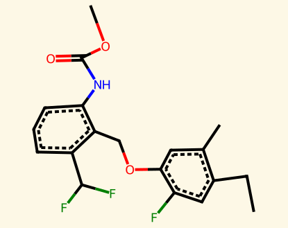 CCc1cc(F)c(OCc2c(NC(=O)OC)cccc2C(F)F)cc1C